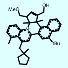 COCC1C=C(CO)C2(C)c3c(cc(C(C)(C)C)c4ccccc34)-c3cc(CC4(C)CCCC4)c4c(C)cccc4[n+]3C12C